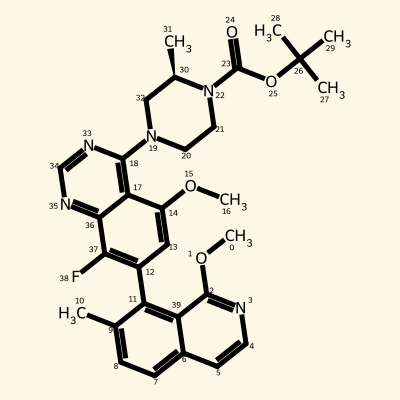 COc1nccc2ccc(C)c(-c3cc(OC)c4c(N5CCN(C(=O)OC(C)(C)C)[C@H](C)C5)ncnc4c3F)c12